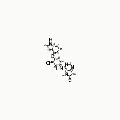 CN1c2c(ncnc2Nc2ccc(Oc3cccc4[nH]ccc34)c(Cl)c2)CC1Cl